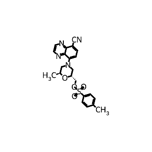 Cc1ccc(S(=O)(=O)OC[C@H]2CN(c3ccc(C#N)c4nccnc34)C[C@H](C)O2)cc1